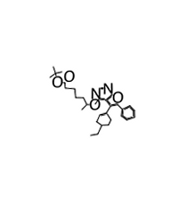 CCC1CC=C(c2c(-c3ccccc3)oc3ncnc(OC(C)CCCCC(=O)OC(C)(C)C)c23)CC1